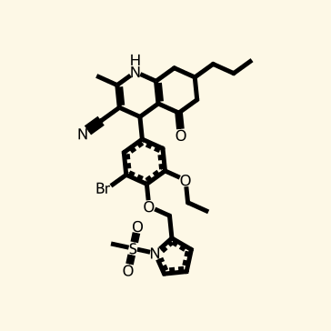 CCCC1CC(=O)C2=C(C1)NC(C)=C(C#N)C2c1cc(Br)c(OCc2cccn2S(C)(=O)=O)c(OCC)c1